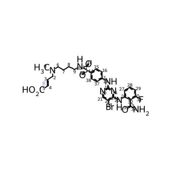 CN(C/C=C/C(=O)O)CCCCNS(=O)(=O)c1ccc(Nc2ncc(Br)c(Nc3cccc(F)c3C(N)=O)n2)cc1